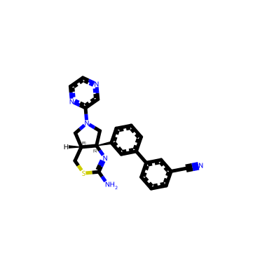 N#Cc1cccc(-c2cccc([C@]34CN(c5cnccn5)C[C@H]3CSC(N)=N4)c2)c1